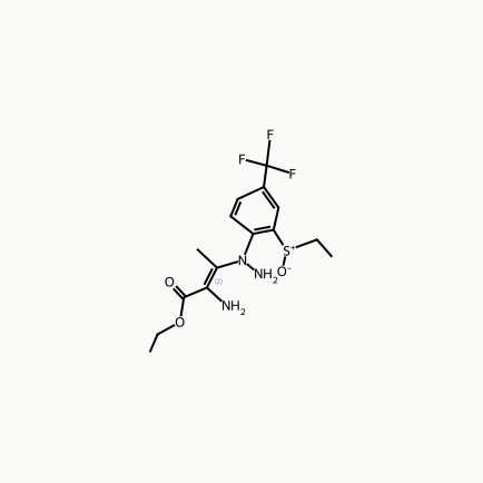 CCOC(=O)/C(N)=C(\C)N(N)c1ccc(C(F)(F)F)cc1[S+]([O-])CC